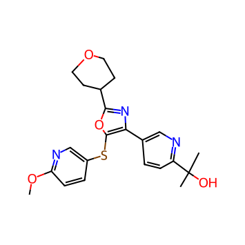 COc1ccc(Sc2oc(C3CCOCC3)nc2-c2ccc(C(C)(C)O)nc2)cn1